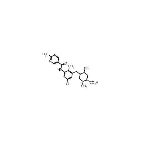 Cc1ncc(C(=O)Nc2cc(Cl)cc(CN3CC(C)N(C(=O)O)CC3C(C)(C)C)c2C)cn1